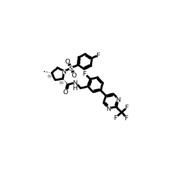 C[C@H]1C[C@@H](C(=O)NCc2cc(-c3cnc(C(F)(F)F)nc3)ccc2F)N(S(=O)(=O)c2ccc(F)cc2)C1